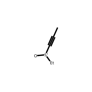 CC#C[S+]([O-])CC